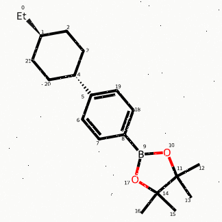 CC[C@H]1CC[C@H](c2ccc(B3OC(C)(C)C(C)(C)O3)cc2)CC1